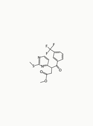 COC(=O)CC(C(=O)c1cccc(C(F)(F)F)c1)c1ccnc(SC)n1